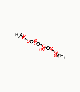 C=CC(=O)OCCCOc1ccc(C(=O)Oc2ccc(CCOC(O)c3ccc(OCCCOC(=O)C=C)cc3)cc2)cc1